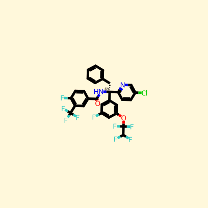 O=C(N[C@](Cc1ccccc1)(c1cc(F)cc(OC(F)(F)C(F)F)c1)c1ccc(Cl)cn1)c1ccc(F)c(C(F)(F)F)c1